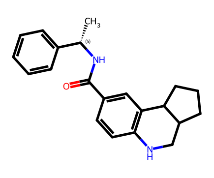 C[C@H](NC(=O)c1ccc2c(c1)C1CCCC1CN2)c1ccccc1